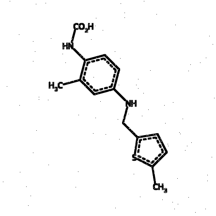 Cc1ccc(CNc2ccc(NC(=O)O)c(C)c2)s1